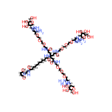 N/C(=C\N(N)C[C@@H]1CO[C@H](CO)[C@H](O)[C@@H]1O)COCCOCCOCCNC(=O)CCC(CCC(=O)NCCOCCOCCOC/C(N)=C/N(N)C[C@@H]1CO[C@H](CO)[C@H](O)[C@@H]1O)(CCC(=O)NCCOCCOCCOC/C(N)=C/N(N)C[C@@H]1CO[C@H](CO)[C@H](O)[C@@H]1O)NC(=O)CCCCCCCCCCC(=O)NCCN1C(=O)C=CC1=O